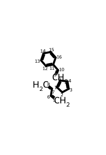 C1=CCC=C1.C=CC=C.C=Cc1ccccc1